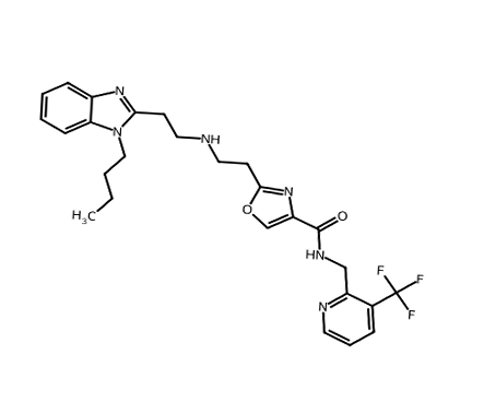 CCCCn1c(CCNCCc2nc(C(=O)NCc3ncccc3C(F)(F)F)co2)nc2ccccc21